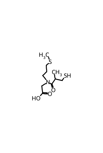 CSCCCN(CC(=O)O)C(=O)C(C)CS